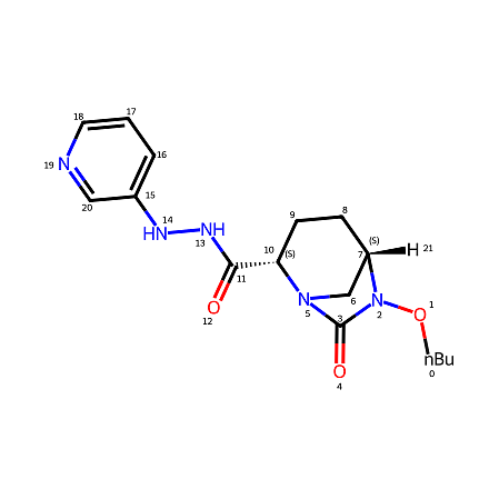 CCCCON1C(=O)N2C[C@@H]1CC[C@H]2C(=O)NNc1cccnc1